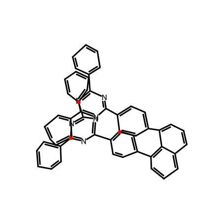 c1ccc(-c2nc(-c3ccccc3)nc(-c3ccc(-c4cccc5cccc(-c6ccc(-c7nc(-c8ccccc8)nc(-c8ccccc8)n7)cc6)c45)cc3)n2)cc1